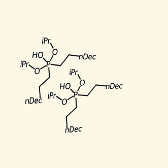 CCCCCCCCCCCCP(O)(CCCCCCCCCCCC)(OC(C)C)OC(C)C.CCCCCCCCCCCCP(O)(CCCCCCCCCCCC)(OC(C)C)OC(C)C